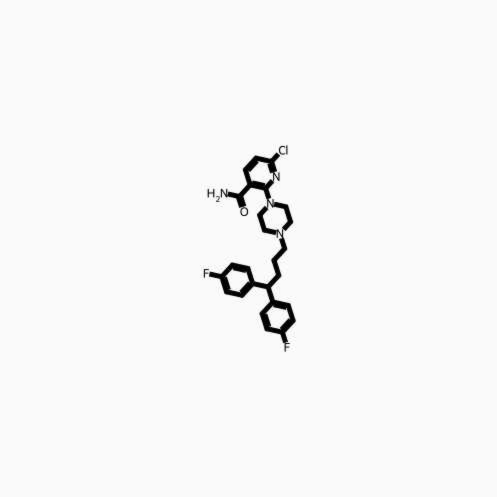 NC(=O)c1ccc(Cl)nc1N1CCN(CCCC(c2ccc(F)cc2)c2ccc(F)cc2)CC1